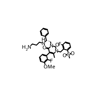 COc1cccc(-c2c(C)n(Cc3c(F)cccc3S(C)(=O)=O)c(=O)n(C[C@H](NCCCN)c3ccccc3)c2=O)c1F